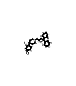 N#CC1(CCCN2CCC(O)(c3ccc(Cl)cc3)CC2)c2ccccc2Oc2ccccc21